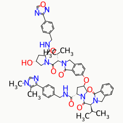 Cc1c(-c2ccc(CNC(=O)[C@@H]3C[C@@H](Oc4ccc5c(c4)C(=O)N([C@H](C(=O)N4C[C@H](O)C[C@H]4C(=O)NCc4ccc(-c6ncon6)cc4)C(C)C)C5)CN3C(=O)[C@H](C(C)C)N3Cc4ccccc4C3=O)cc2)ncn1C